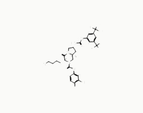 NCCCC[C@@H]1C(=O)N2C[C@H](NC(=O)Nc3cc(C(F)(F)F)cc(C(F)(F)F)c3)C[C@H]2CN1C(=O)Nc1ccc(Cl)c(Cl)c1